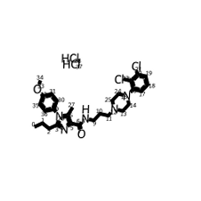 CCCc1nc(C(=O)NCCCN2CCN(c3cccc(Cl)c3Cl)CC2)c(C)n1-c1ccc(OC)cc1.Cl.Cl